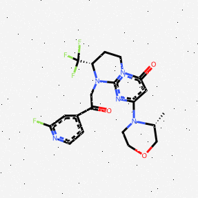 C[C@@H]1COCCN1c1cc(=O)n2c(n1)N(CC(=O)c1ccnc(F)c1)[C@H](C(F)(F)F)CC2